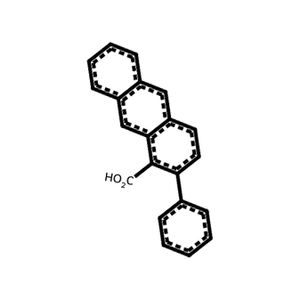 O=C(O)c1c(-c2ccccc2)ccc2cc3ccccc3cc12